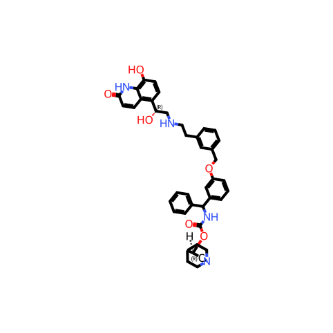 O=C(NC(c1ccccc1)c1cccc(OCc2cccc(CCNC[C@H](O)c3ccc(O)c4[nH]c(=O)ccc34)c2)c1)O[C@H]1CN2CCC1CC2